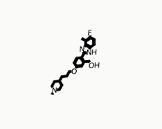 Cc1c(F)ccc2[nH]c(-c3ccc(OCCCC4CCN(C)CC4)cc3CO)nc12